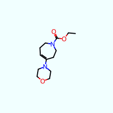 CCOC(=O)N1CCC=C(N2CCOCC2)CC1